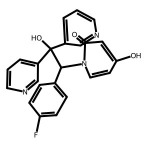 O=c1cc(O)ccn1C(c1ccc(F)cc1)C(O)(c1cccnc1)c1cccnc1